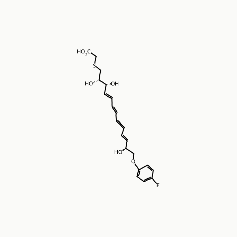 O=C(O)CSC[C@@H](O)[C@H](O)C=CC=CC=CC=C[C@H](O)COc1ccc(F)cc1